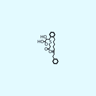 O=C(O)CCSC(c1ccccc1CCCCCCCCc1ccccc1)C(O)C(=O)O